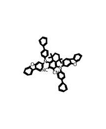 CC1(C)CCC(C)(C)c2c(N(c3ccc(-c4ccccc4)cc3)c3ccc4c(c3)oc3ccccc34)c(C#N)c(C#N)c(N(c3ccc(-c4ccccc4)cc3)c3ccc4c(c3)oc3ccccc34)c21